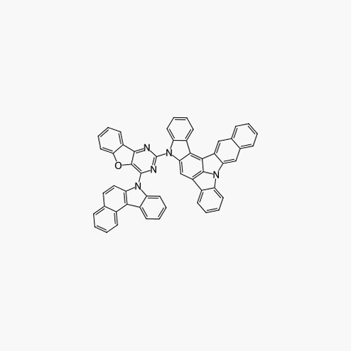 c1ccc2cc3c(cc2c1)c1c2c4ccccc4n(-c4nc(-n5c6ccccc6c6c7ccccc7ccc65)c5oc6ccccc6c5n4)c2cc2c4ccccc4n3c21